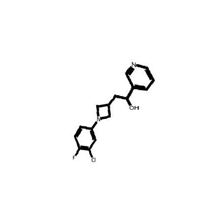 OC(CC1CN(c2ccc(F)c(Cl)c2)C1)c1cccnc1